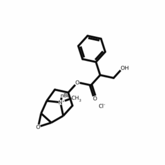 CCCC[N+]1(C)C2CC(OC(=O)C(CO)c3ccccc3)CC1C1OC12.[Cl-]